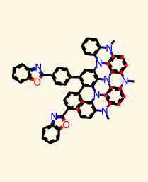 CN1c2ccccc2N(c2cc(-c3ccc(-c4nc5ccccc5o4)cc3)c(-c3ccc(-c4nc5ccccc5o4)cc3)c(N3c4ccccc4N(C)c4ccccc43)c2N2c3ccccc3N(C)c3ccccc32)c2ccccc21